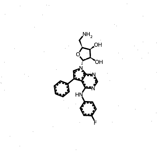 NC[C@@H]1O[C@@H](n2cc(-c3ccccc3)c3c(Nc4ccc(F)cc4)ncnc32)[C@H](O)[C@@H]1O